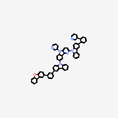 c1cc(-c2ccc3oc4ccccc4c3c2)cc(-c2ccc3c(c2)c2ccccc2n3-c2ccc3c(c2)c2nc(-n4c5ccccc5c5cc(-c6ccccc6-c6cccnc6)ccc54)ccc2n3-c2cccnc2)c1